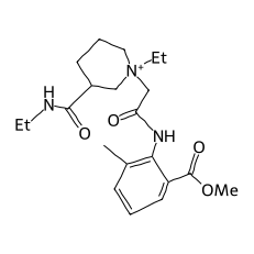 CCNC(=O)C1CCC[N+](CC)(CC(=O)Nc2c(C)cccc2C(=O)OC)C1